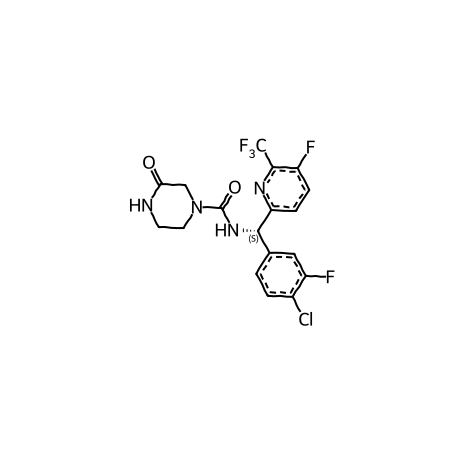 O=C1CN(C(=O)N[C@@H](c2ccc(Cl)c(F)c2)c2ccc(F)c(C(F)(F)F)n2)CCN1